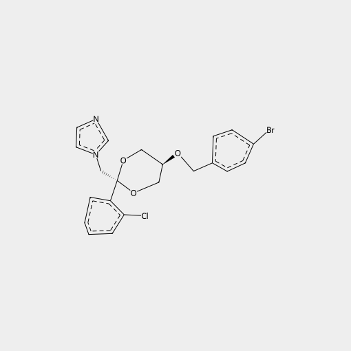 Clc1ccccc1[C@]1(Cn2ccnc2)OC[C@H](OCc2ccc(Br)cc2)CO1